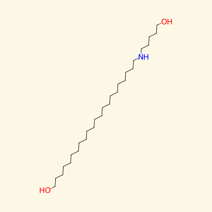 OCCCCCCCCCCCCCCCCCCCCCCNCCCCCO